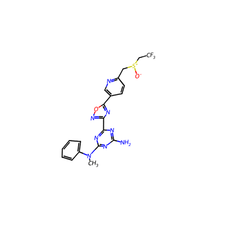 CN(c1ccccc1)c1nc(N)nc(-c2noc(-c3ccc(C[S+]([O-])CC(F)(F)F)nc3)n2)n1